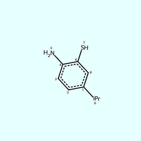 CC(C)c1ccc(N)c(S)c1